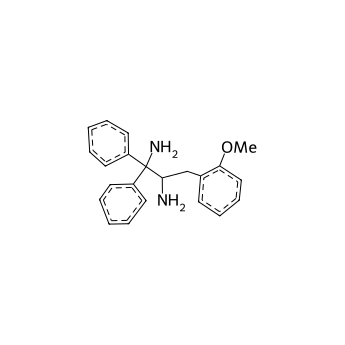 COc1ccccc1CC(N)C(N)(c1ccccc1)c1ccccc1